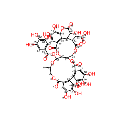 CC1COC(=O)c2cc(O)c(O)c(O)c2-c2c(cc(O)c(O)c2O)C(=O)OC2COC(=O)C(CC(=O)O)C3c4c(cc(O)c(O)c4OC(=O)C3O)C(=O)OC2C(OC(=O)c2cc(O)c(O)c(O)c2)O1